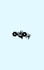 O=S(=O)(N[C@@H](CC1CC1)c1ccccc1)c1ccc(OC(F)(F)F)cc1